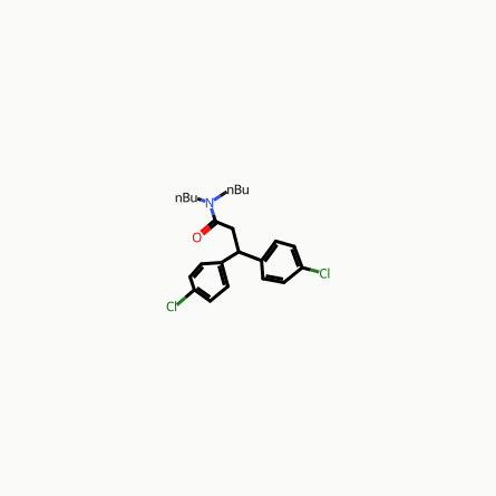 CCCCN(CCCC)C(=O)CC(c1ccc(Cl)cc1)c1ccc(Cl)cc1